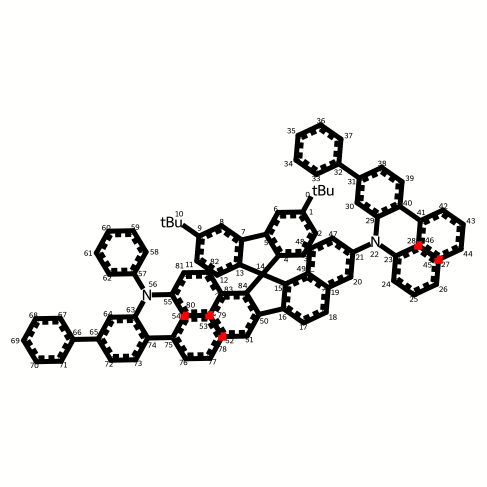 CC(C)(C)c1ccc2c(c1)-c1cc(C(C)(C)C)ccc1C21c2c(ccc3cc(N(c4ccccc4)c4cc(-c5ccccc5)ccc4-c4ccccc4)ccc23)-c2ccc3cc(N(c4ccccc4)c4cc(-c5ccccc5)ccc4-c4ccccc4)ccc3c21